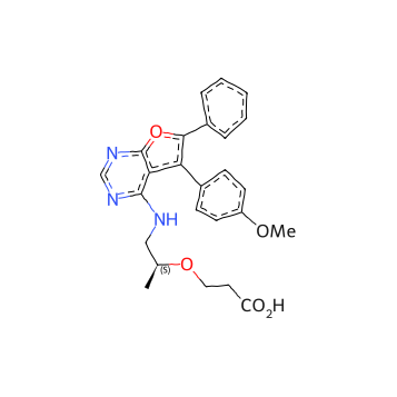 COc1ccc(-c2c(-c3ccccc3)oc3ncnc(NC[C@H](C)OCCC(=O)O)c23)cc1